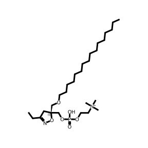 CCCCCCCCCCCCCCCCOC[C@]1(COP(=O)(O)OCC[N+](C)(C)C)CC(CC)=NO1